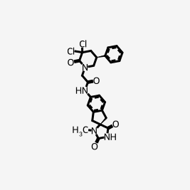 CN1C(=O)NC(=O)[C@]12Cc1ccc(NC(=O)CN3C[C@H](c4ccccc4)CC(Cl)(Cl)C3=O)cc1C2